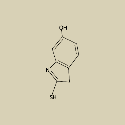 Oc1ccc2c(c1)N=C(S)C2